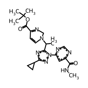 CNC(=O)c1cc(-n2nc(C3CC3)nc2C(C)N2C=CC(C(=O)OC(C)(C)C)=NC2)ncn1